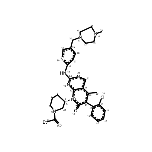 CCC(=O)N1CCC[C@H](n2c(=O)c(-c3ccccc3Cl)c(C)c3cnc(Nc4ccc(CN5CCN(C)CC5)cn4)nc32)C1